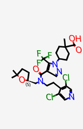 CC1(C)CC[C@@H](CN(CCc2c(Cl)cncc2Cl)C(=O)c2cnn(C3CCC(C)(C(=O)O)CC3)c2C(F)(F)F)O1